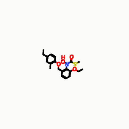 CCOc1cccc(COc2ccc(CC)cc2C)c1N(O)C(=O)SC